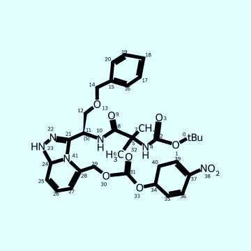 CC(C)(C)OC(=O)NC(C)(C)C(=O)N[C@H](COCc1ccccc1)C1=NNC2C=CC=C(COC(=O)OC3C=CC([N+](=O)[O-])=CC3)N12